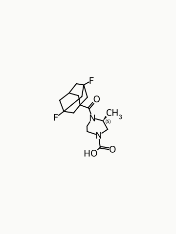 C[C@H]1CN(C(=O)O)CCN1C(=O)C12CC3CC(F)(CC(F)(C3)C1)C2